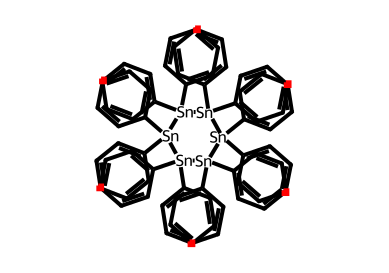 c1cc[c]([Sn]2([c]3ccccc3)[Sn]([c]3ccccc3)([c]3ccccc3)[Sn]([c]3ccccc3)([c]3ccccc3)[Sn]([c]3ccccc3)([c]3ccccc3)[Sn]([c]3ccccc3)([c]3ccccc3)[Sn]2([c]2ccccc2)[c]2ccccc2)cc1